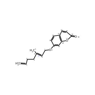 C=CCC/C(C)=C/COc1ccc2ccc(=O)oc2c1